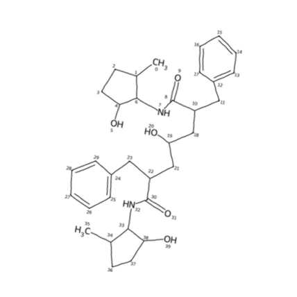 CC1CCC(O)C1NC(=O)C(Cc1ccccc1)CC(O)CC(Cc1ccccc1)C(=O)NC1C(C)CCC1O